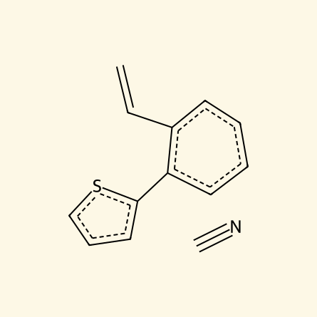 C#N.C=Cc1ccccc1-c1cccs1